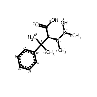 CB(O)N(C)[C@H](C(=O)O)C(C)(C)c1ccccc1